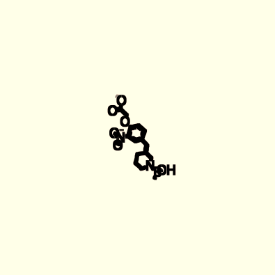 COC(=O)COc1ccc(C=C2CCCN(B(C)O)C2)cc1[N+](=O)[O-]